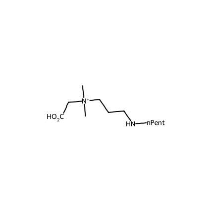 CCCCCNCCC[N+](C)(C)CC(=O)O